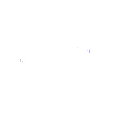 C=C1NC=CC2=C1CC(C)(C#N)CC2